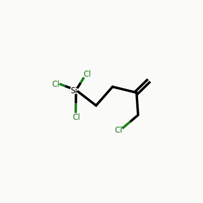 C=C(CCl)CC[Si](Cl)(Cl)Cl